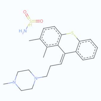 Cc1ccc2c(c1C)C(=CCCN1CCN(C)CC1)c1ccccc1S2.N[SH](=O)=O